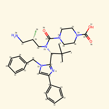 CC(C)(C)[C@H](c1nc(-c2ccccc2)cn1Cc1ccccc1)N(C[C@@H](F)CN)C(=O)N1CCN(C(=O)O)CC1